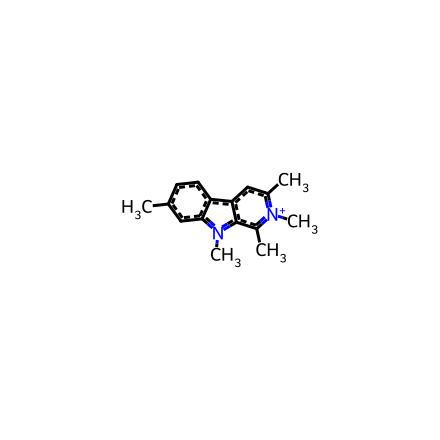 Cc1ccc2c3cc(C)[n+](C)c(C)c3n(C)c2c1